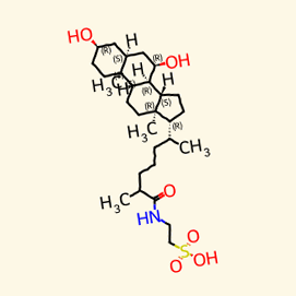 CC(CCCC(C)[C@H]1CC[C@H]2[C@@H]3[C@H](O)C[C@@H]4C[C@H](O)CC[C@]4(C)[C@H]3CC[C@]12C)C(=O)NCCS(=O)(=O)O